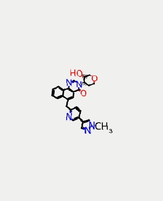 Cn1cc(-c2ccc(Cc3cc4c(=O)n([C@H]5CCOC[C@@H]5O)cnc4c4ccccc34)nc2)cn1